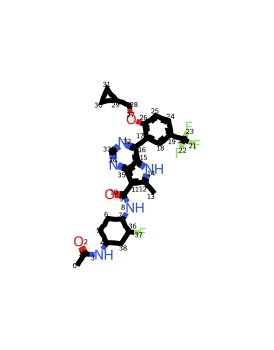 CC(=O)NC1CCC(NC(=O)c2c(C)[nH]c3c(-c4cc(C(F)(F)F)ccc4OCC4CC4)ncnc23)C(F)C1